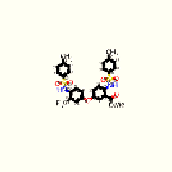 COC(=O)c1cc(Oc2ccc(NS(=O)(=O)c3ccc(C)cc3)c(C(F)(F)F)c2)ccc1NS(=O)(=O)c1ccc(C)cc1